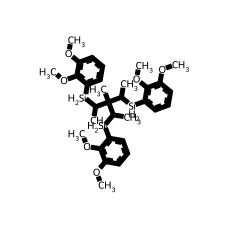 COc1cccc([SiH2]C(C)C(C)(C(C)[SiH2]c2cccc(OC)c2OC)C(C)[SiH2]c2cccc(OC)c2OC)c1OC